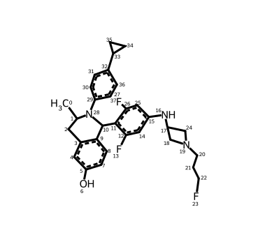 CC1Cc2cc(O)ccc2C(c2c(F)cc(NC3CN(CCCF)C3)cc2F)N1c1ccc(C2CC2)cc1